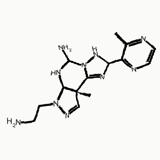 Cc1nccnc1C1N=C2N(N1)C(N)NC1N(CCN)N=C[C@@]21C